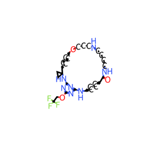 O=C1NCCCCNCCCOc2ccc(cc2)C2(CC2)Nc2nc(nc(OCC(F)(F)F)n2)Nc2ccc1cc2